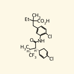 CCC(C)(Cc1ccc(Cl)c(NC(=O)[C@H](C2C=CC(Cl)=CC2)[C@@H](C)C(F)(F)F)c1)C(=O)O